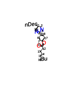 CCCCCCCCCCc1cnc(-c2ccc(OC(=O)CCCCC(C)CC)cc2)nc1